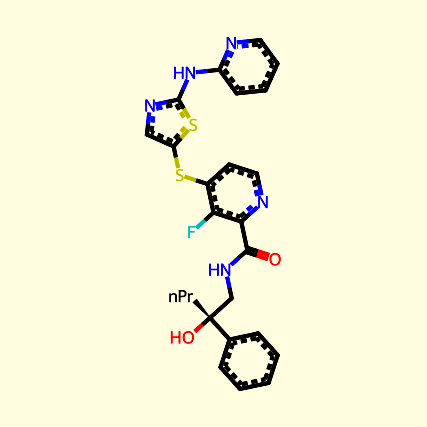 CCC[C@@](O)(CNC(=O)c1nccc(Sc2cnc(Nc3ccccn3)s2)c1F)c1ccccc1